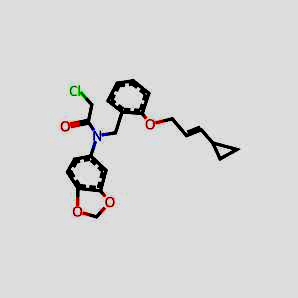 O=C(CCl)N(Cc1ccccc1OC/C=C/C1CC1)c1ccc2c(c1)OCO2